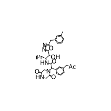 CC(=O)Cc1cccc(C(C(=O)N[C@@H](C(C)C)C(O)c2nnc(Cc3cccc(C)c3)o2)N2CC(=O)NCC2=O)c1